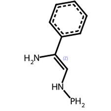 N/C(=C\NP)c1ccccc1